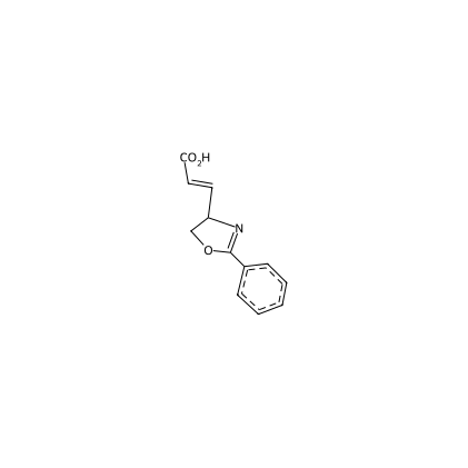 O=C(O)/C=C/C1COC(c2ccccc2)=N1